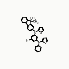 CC1(C)c2ccccc2-c2ccc(N(c3cc(Br)cc(N(c4ccccc4)c4cccs4)c3)c3cccs3)cc21